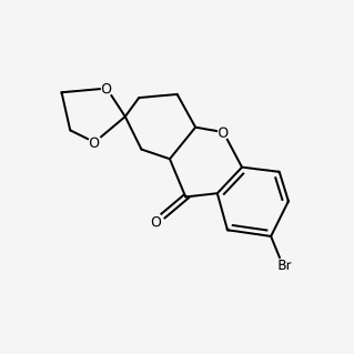 O=C1c2cc(Br)ccc2OC2CCC3(CC12)OCCO3